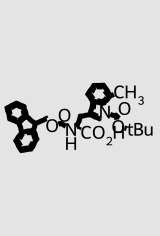 Cc1cccc2c(C[C@H](NC(=O)OCC3c4ccccc4-c4ccccc43)C(=O)O)cn(C(=O)OC(C)(C)C)c12